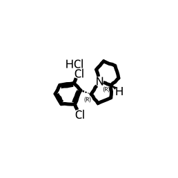 Cl.Clc1cccc(Cl)c1[C@H]1CC[C@H]2CCCCN21